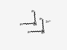 CC(C)CCCCCCCCCCOP([O-])(=S)OCCCCCCCCCCC(C)C.CC(C)CCCCCCCCCCOP([O-])(=S)OCCCCCCCCCCC(C)C.[Zn+2]